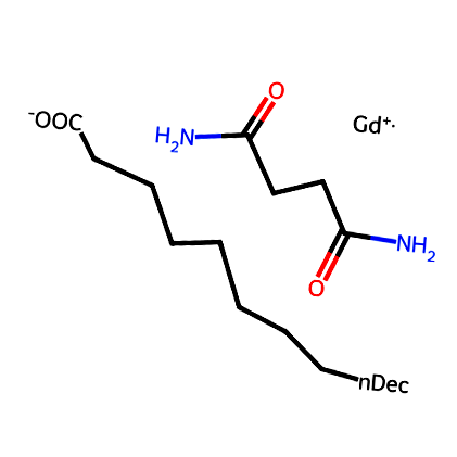 CCCCCCCCCCCCCCCCCC(=O)[O-].NC(=O)CCC(N)=O.[Gd+]